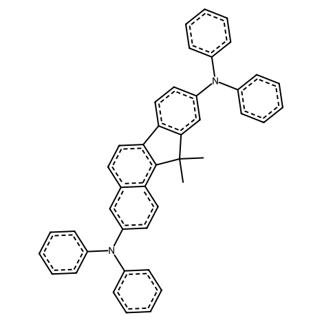 CC1(C)c2cc(N(c3ccccc3)c3ccccc3)ccc2-c2ccc3cc(N(c4ccccc4)c4ccccc4)ccc3c21